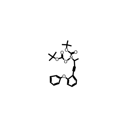 CC(C#Cc1ccccc1Oc1ccccc1)N(OC(=O)OC(C)(C)C)C(=O)OC(C)(C)C